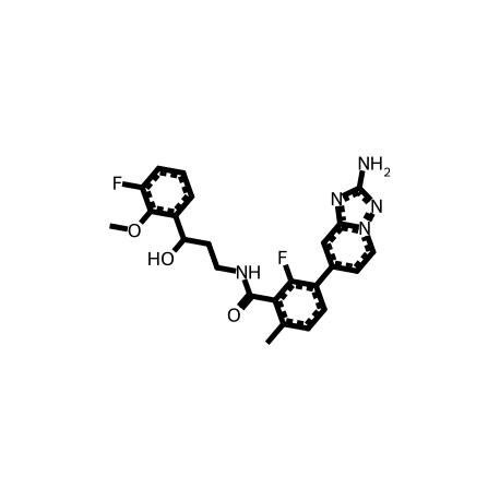 COc1c(F)cccc1C(O)CCNC(=O)c1c(C)ccc(-c2ccn3nc(N)nc3c2)c1F